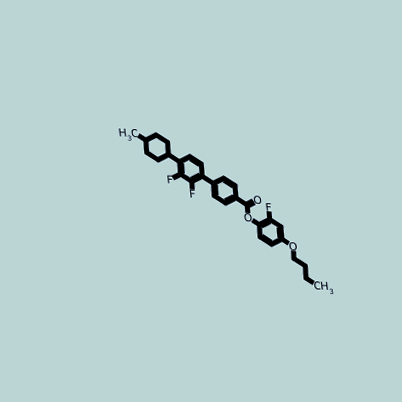 CCCCOc1ccc(OC(=O)c2ccc(-c3ccc(C4CCC(C)CC4)c(F)c3F)cc2)c(F)c1